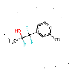 CC(O)(F)C(F)(F)c1cccc(C#N)c1